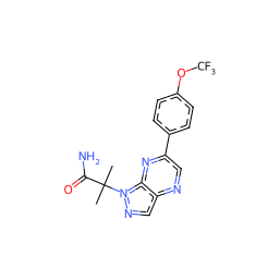 CC(C)(C(N)=O)n1ncc2ncc(-c3ccc(OC(F)(F)F)cc3)nc21